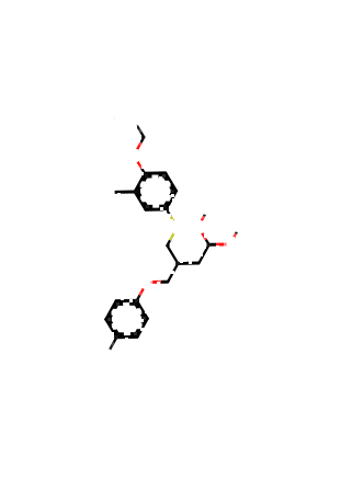 CCOC(CC(COc1ccc(C(F)(F)F)cc1)CSc1ccc(OCC(=O)O)c(C)c1)OCC